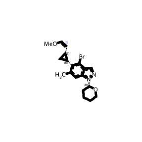 CO/C=C\[C@H]1C[C@H]1c1c(C)cc2c(cnn2[C@H]2CCCCO2)c1Br